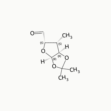 C[C@@H]1[C@H]2OC(C)(C)O[C@H]2O[C@@H]1C=O